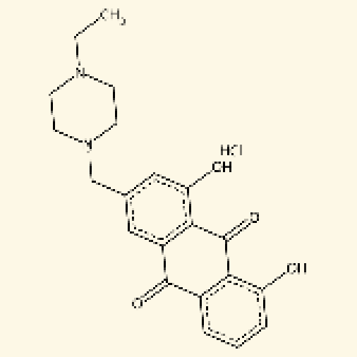 CCN1CCN(Cc2cc(O)c3c(c2)C(=O)c2cccc(O)c2C3=O)CC1.Cl